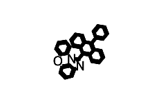 c1ccc(-c2c3ccccc3c(-c3nc4cccc5c4n3-c3ccccc3O5)c3ccccc23)cc1